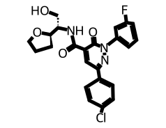 O=C(N[C@@H](CO)[C@H]1CCCO1)c1cc(-c2ccc(Cl)cc2)nn(-c2cccc(F)c2)c1=O